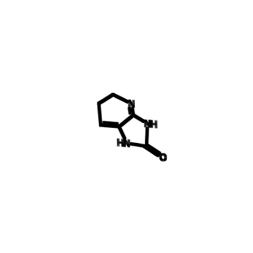 O=c1[nH]c2c([nH]1)=NCCC=2